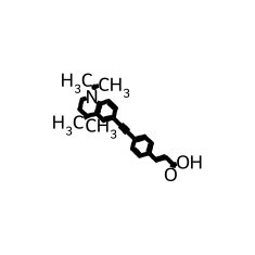 CC(C)N1CCC(C)(C)c2cc(C#Cc3ccc(/C=C/C(=O)O)cc3)ccc21